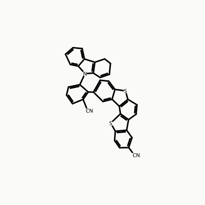 N#Cc1ccc2sc3c(ccc4sc5ccc(-c6c(C#N)cccc6-n6c7c(c8ccccc86)CCC=C7)cc5c43)c2c1